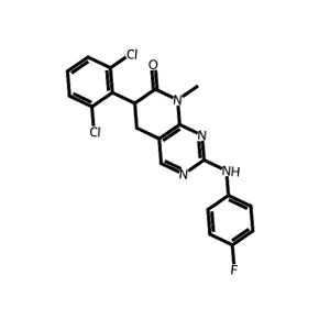 CN1C(=O)C(c2c(Cl)cccc2Cl)Cc2cnc(Nc3ccc(F)cc3)nc21